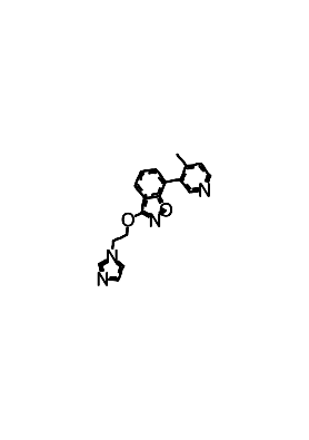 Cc1ccncc1-c1cccc2c(OCCn3ccnc3)noc12